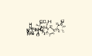 CC(N[C@@H](Cc1ccc(-c2cccc(Cl)c2)cc1)C(=O)Nc1nnn[nH]1)C(=O)O